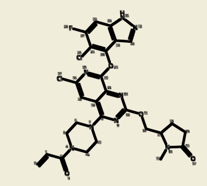 C=CC(=O)N1CCN(c2nc(OCC3CCC(=O)N3C)nc3c(Oc4c(Cl)c(F)cc5[nH]ncc45)nc(Cl)cc23)CC1